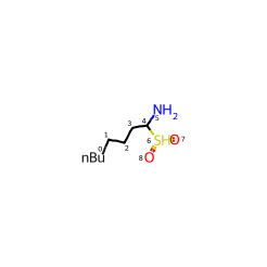 CCCCCCCC(N)[SH](=O)=O